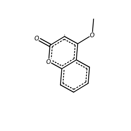 COc1[c]c(=O)oc2ccccc12